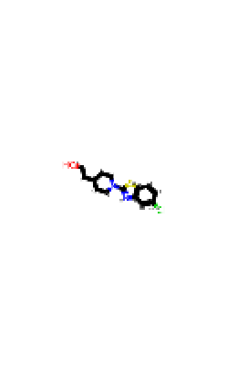 OCCC1CCN(c2nc3cc(Cl)ccc3s2)CC1